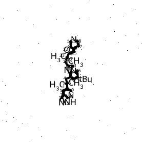 CC(C)(C)c1cc(CC(C)(C)c2cnc3[nH]ncc3c2)c2nc(CC(C)(C)c3cc4ccncc4o3)cn2c1